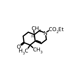 CCOC(=O)N1CC=C2C(C)(C)C(=O)CC[C@]2(C)C1